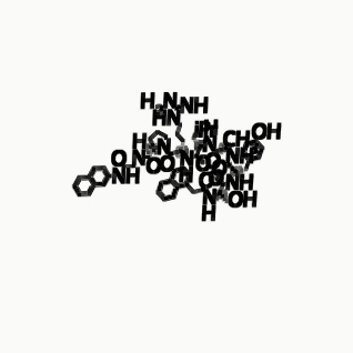 CC(C)C[C@H](NC(=O)[C@H](C)NC(=O)[C@H](Cc1ccc(O)cc1)NC(=O)[C@H](CO)NC(=O)Cc1cccc2ccccc12)C(=O)N[C@@H](CCCNC(=N)N)C(=O)N1CCC[C@H]1C(=O)NCC(=O)Nc1ccc2ccccc2c1